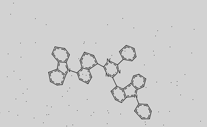 c1ccc(-c2nc(-c3cccc4c(-n5c6ccccc6c6ccccc65)cccc34)nc(-c3cccc4c3c3ccccc3n4-c3ccccc3)n2)cc1